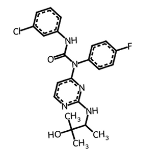 CC(Nc1nccc(N(C(=O)Nc2cccc(Cl)c2)c2ccc(F)cc2)n1)C(C)(C)O